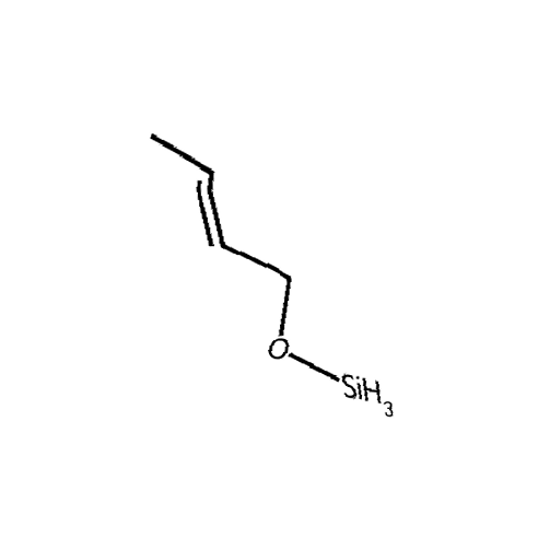 C/C=C/CO[SiH3]